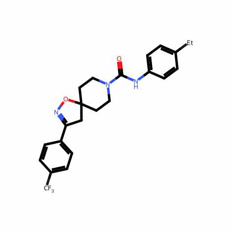 CCc1ccc(NC(=O)N2CCC3(CC2)CC(c2ccc(C(F)(F)F)cc2)=NO3)cc1